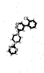 Clc1ccccc1-c1cnnc(N2CCN(c3ncccn3)CC2)c1